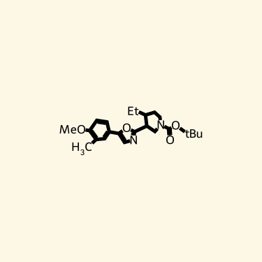 CCC1CCN(C(=O)OC(C)(C)C)CC1c1ncc(-c2ccc(OC)c(C)c2)o1